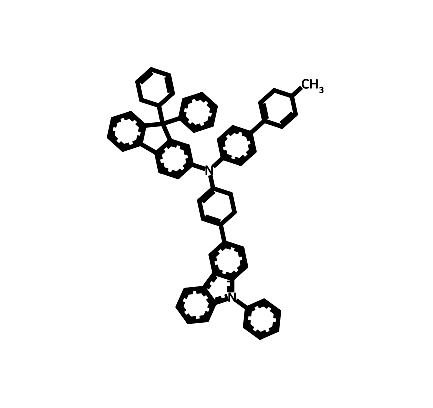 CC1C=CC(c2ccc(N(C3=CC=C(c4ccc5c(c4)c4ccccc4n5-c4ccccc4)CC3)c3ccc4c(c3)C(c3ccccc3)(C3C=CC=CC3)c3ccccc3-4)cc2)=CC1